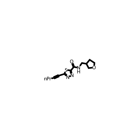 CCCC#Cc1nnc(C(=O)NCC2CCOC2)s1